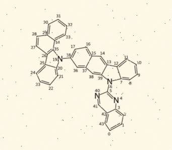 c1ccc2nc(-n3c4ccccc4c4cc5ccc(-n6c7ccccc7c7ccc8ccccc8c76)cc5cc43)ncc2c1